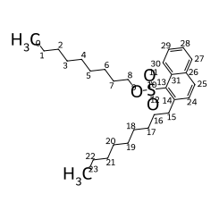 CCCCCCCCCOS(=O)(=O)c1c(CCCCCCCCC)ccc2ccccc12